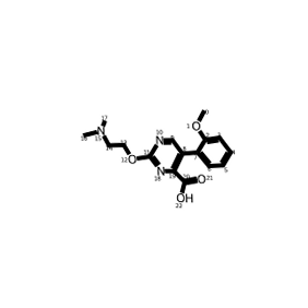 COc1ccccc1-c1cnc(OCCN(C)C)nc1C(=O)O